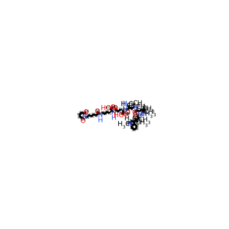 C/C(=C\[C@H](C(C)C)N(C)C(=O)C(CC(C)(C)C)NC(=O)[C@@H](C)C(C)(C)c1cn(C)c2c1CCC=C2)C(=O)N[C@H](CCC(=O)N[C@@H](CCCCNC(=O)CCCCCN1C(=O)C=CCC1=O)C(=O)O)C(=O)O